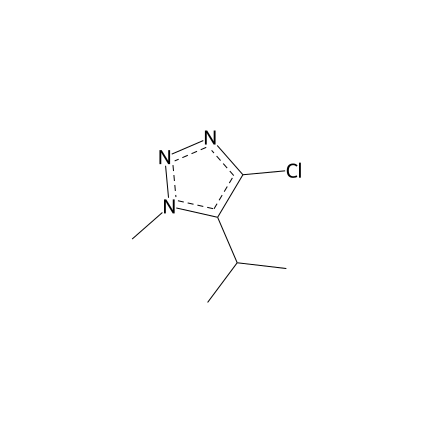 CC(C)c1c(Cl)nnn1C